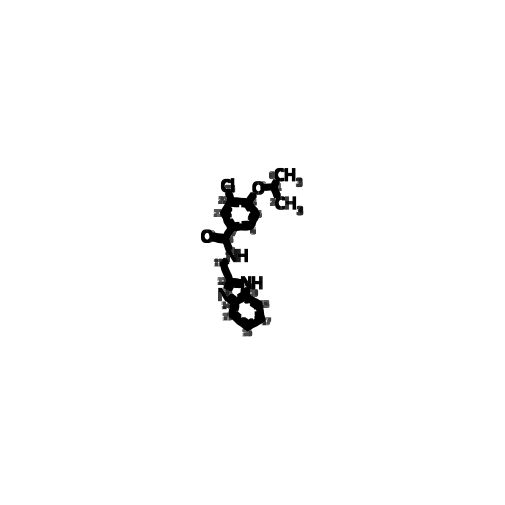 CC(C)Oc1ccc(C(=O)NCc2nc3ccccc3[nH]2)cc1Cl